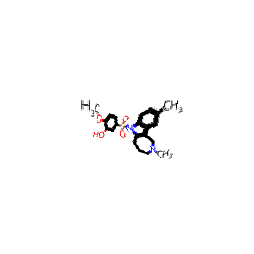 COc1ccc(S(=O)(=O)n2c3c(c4cc(C)ccc42)CN(C)CCC3)cc1O